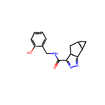 O=C(NCc1ccccc1O)C1=NN=C2C1CC1CC21